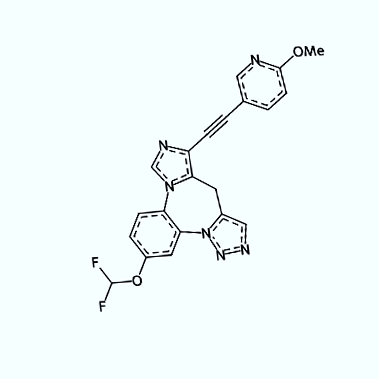 COc1ccc(C#Cc2ncn3c2Cc2cnnn2-c2cc(OC(F)F)ccc2-3)cn1